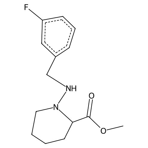 COC(=O)C1CCCCN1NCc1cccc(F)c1